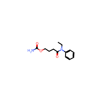 CCN(C(=O)CCCOC(N)=O)c1ccccc1